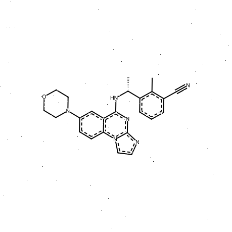 Cc1c(C#N)cccc1[C@@H](C)Nc1nc2nccn2c2ccc(N3CCOCC3)cc12